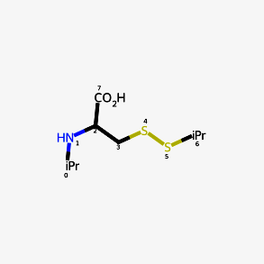 CC(C)NC(CSSC(C)C)C(=O)O